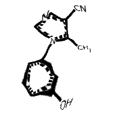 Cc1c(C#N)ncn1-c1cccc(O)c1